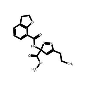 CCCC1=CC(NC(=O)c2cccc3c2OCC3)(C(=O)NC)N=N1